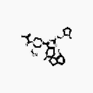 C=C(C)C(=O)N1CCN(c2nc(OC[C@@H]3CCCN3C)nc3c2CN(C)C2(CCc4cccc(F)c42)C3)C[C@@H]1CC#N